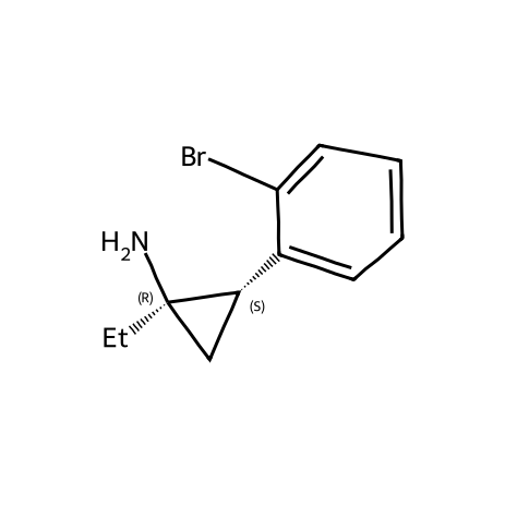 CC[C@@]1(N)C[C@H]1c1ccccc1Br